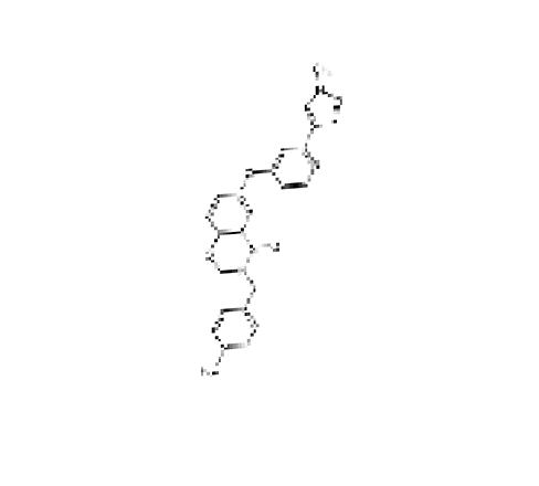 Cn1cc(-c2cc(Oc3ccc4c(c3)C(=O)N(Cc3ccc(C(F)(F)F)cc3)CO4)ccn2)cn1